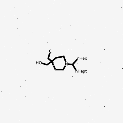 CCCCCCCC(CCCCCC)N1CCC(CO)(CCl)CC1